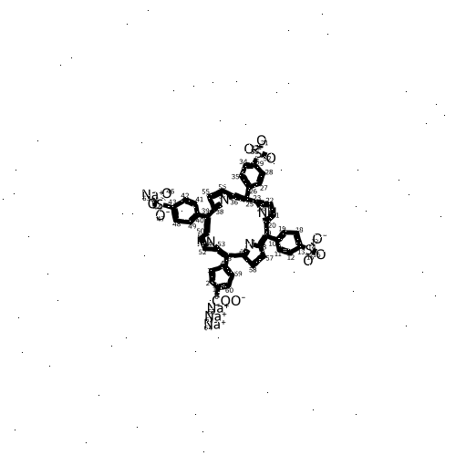 O=C([O-])c1ccc(-c2c3nc(c(-c4ccc(S(=O)(=O)[O-])cc4)c4ccc([nH]4)c(-c4ccc(S(=O)(=O)[O-])cc4)c4nc(c(-c5ccc(S(=O)(=O)[O-])cc5)c5ccc2[nH]5)C=C4)C=C3)cc1.[Na+].[Na+].[Na+].[Na+]